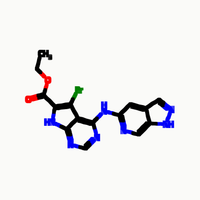 CCOC(=O)c1[nH]c2ncnc(Nc3cc4cn[nH]c4cn3)c2c1Br